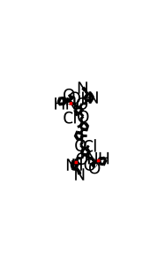 Cc1c(COc2cc(OCc3cncc(C#N)c3)c(CN[C@H](C(=O)O)c3ccccc3)cc2Cl)cccc1-c1cccc(COc2cc(OCc3cncc(C#N)c3)c(CN[C@H](C(=O)O)c3ccccc3)cc2Cl)c1C